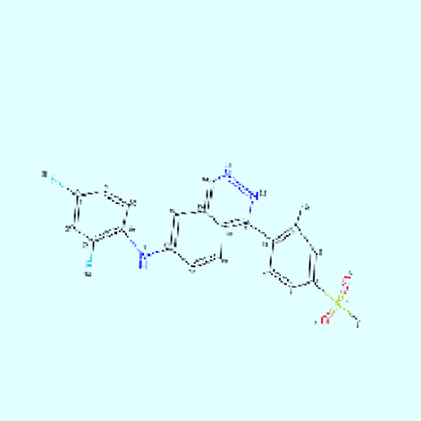 Cc1cc(S(C)(=O)=O)ccc1-c1nncc2cc(Nc3ccc(F)cc3F)ccc12